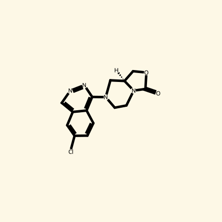 O=C1OC[C@@H]2CN(c3nncc4cc(Cl)ccc34)CCN12